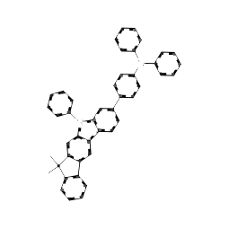 CC1(C)c2ccccc2-c2cc3c4ccc(-c5ccc(N(c6ccccc6)c6ccccc6)cc5)cc4n(-c4ccccc4)c3cc21